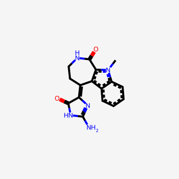 Cn1c2c(c3ccccc31)C(=C1N=C(N)NC1=O)CCNC2=O